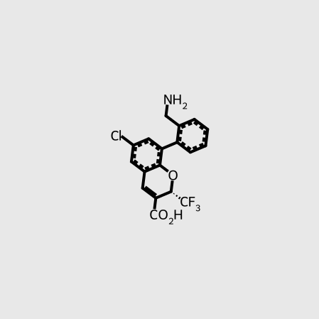 NCc1ccccc1-c1cc(Cl)cc2c1O[C@H](C(F)(F)F)C(C(=O)O)=C2